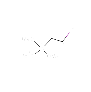 CO[Si](CCI)(OC)OC